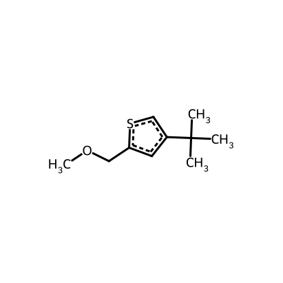 COCc1cc(C(C)(C)C)cs1